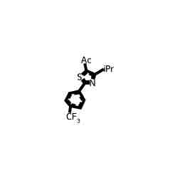 CC(=O)c1sc(-c2ccc(C(F)(F)F)cc2)nc1C(C)C